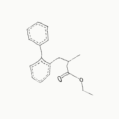 CCOC(=O)C(C)Cc1ccccc1-c1ccccc1